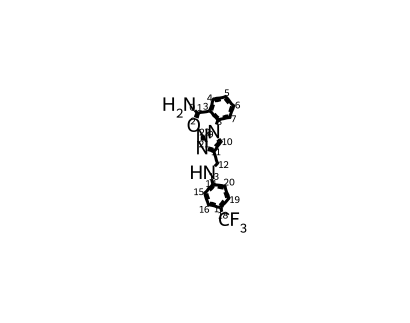 NC(=O)c1ccccc1-n1cc(CNc2ccc(C(F)(F)F)cc2)nn1